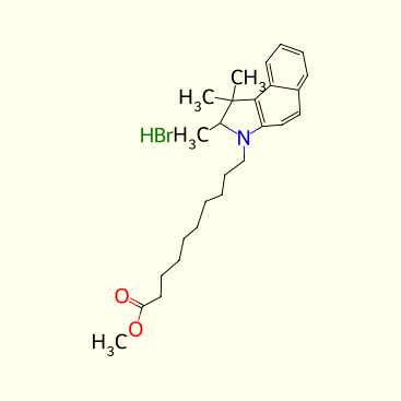 Br.COC(=O)CCCCCCCCCN1c2ccc3ccccc3c2C(C)(C)C1C